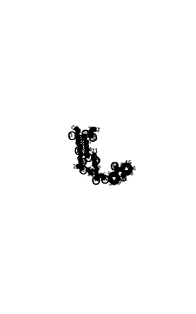 C=CC(=O)OCCOCCOC(C)OCCN(CCOC(C)OCCOCCOC(=O)C=C)C(=O)COc1ccc2sc3ccccc3c(=O)c2c1